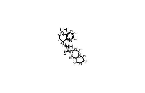 CN1CC/C(=N/NC(=S)N2CCN3CCCCC3C2)c2ncccc21